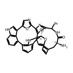 CC(C)C1NC(=O)[C@@H](N)Cc2ccc3c(c2)C24c5cccc(c5N[C@H]2O3)-c2cccc3[nH]cc(c23)-c2cnc(o2)-c2nc1oc24